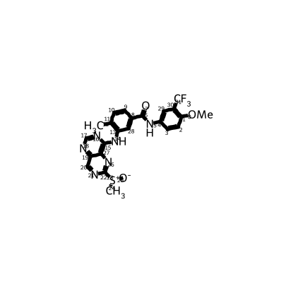 COc1ccc(NC(=O)c2ccc(C)c(Nc3ncnc4cnc([S+](C)[O-])nc34)c2)cc1C(F)(F)F